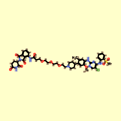 Cc1cc(Nc2ncc(Cl)c(Nc3ccccc3S(=O)(=O)C(C)C)n2)c(OC(C)C)cc1C1CCN(CCOCCOCCOCCC(=O)Nc2cccc3c2C(=O)N(C2CCC(=O)NC2=O)C3=O)CC1